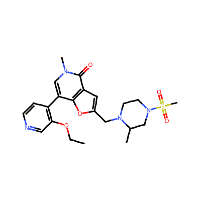 CCOc1cnccc1-c1cn(C)c(=O)c2cc(CN3CCN(S(C)(=O)=O)CC3C)oc12